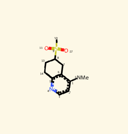 CNc1ccnc2c1CC(S(C)(=O)=O)CC2